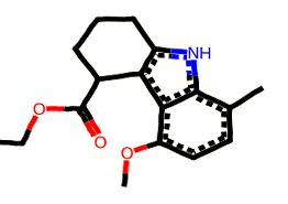 CCOC(=O)C1CCCc2[nH]c3c(C)ccc(OC)c3c21